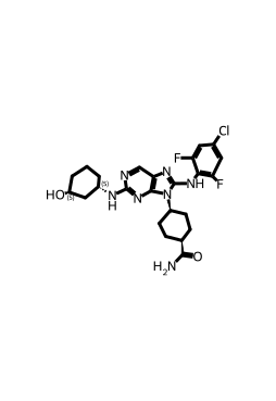 NC(=O)[C@H]1CC[C@@H](n2c(Nc3c(F)cc(Cl)cc3F)nc3cnc(N[C@H]4CCC[C@H](O)C4)nc32)CC1